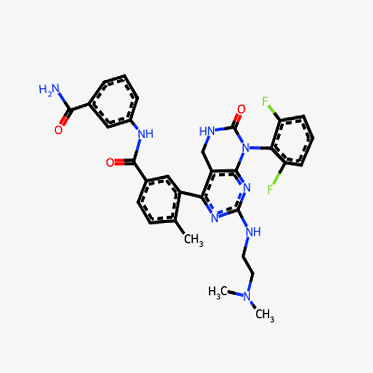 Cc1ccc(C(=O)Nc2cccc(C(N)=O)c2)cc1-c1nc(NCCN(C)C)nc2c1CNC(=O)N2c1c(F)cccc1F